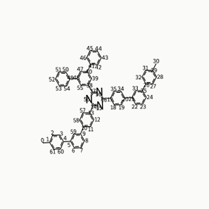 Cc1ccc(-c2cccc(-c3ccc(-c4nc(-c5ccc(-c6cccc(-c7ccc(C)cc7)c6)cc5)nc(-c5cc(-c6ccccc6)cc(-c6ccccc6)c5)n4)cc3)c2)cc1